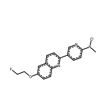 CN(Cl)c1ccc(-c2ccc3cc(OCCF)ccc3n2)cn1